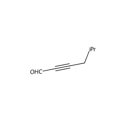 CC(C)CC#CC=O